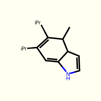 CC(C)C1=C(C(C)C)C(C)C2C=CNC2=C1